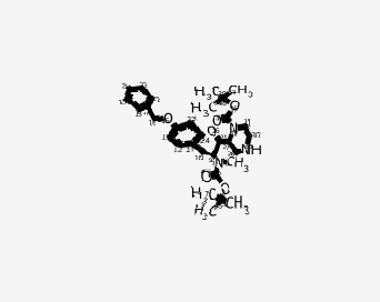 CN(C(=O)OC(C)(C)C)[C@@H](Cc1ccc(OCc2ccccc2)cc1)C(=O)C1CNCCN1C(=O)OC(C)(C)C